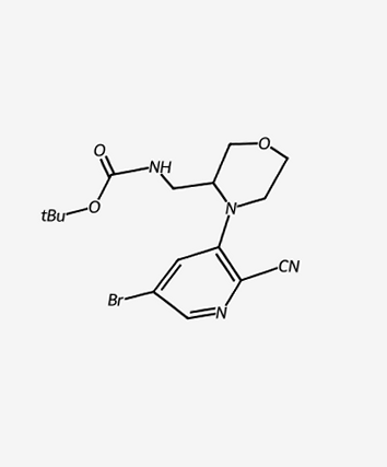 CC(C)(C)OC(=O)NCC1COCCN1c1cc(Br)cnc1C#N